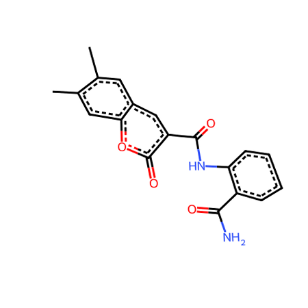 Cc1cc2cc(C(=O)Nc3ccccc3C(N)=O)c(=O)oc2cc1C